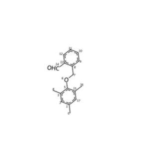 Cc1cc(C)c(OCc2ccccc2C=O)c(C)c1